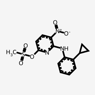 CS(=O)(=O)Oc1ccc([N+](=O)[O-])c(Nc2ccccc2C2CC2)n1